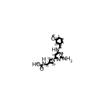 COc1cccc(CNc2cc(N3CC(CNC(=O)O)C3)nc(N)n2)c1